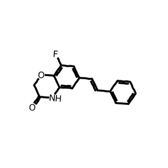 O=C1COc2c(F)cc(C=Cc3ccccc3)cc2N1